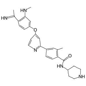 CNc1cc(Oc2ccnc(-c3ccc(C(=O)NC4CCNCC4)c(C)c3)c2)ccc1C(C)=N